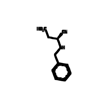 N#C[C@H](CC(=O)O)NCc1ccccc1